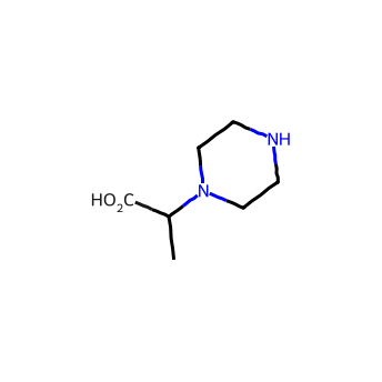 CC(C(=O)O)N1CCNCC1